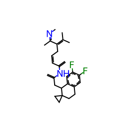 C=C(/C=C\CC(=C(C)C)/C(C)=N\C)NC(=C)CC1c2cc(F)c(F)cc2CCC12CC2